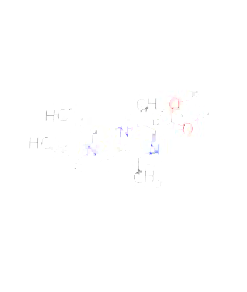 C#CCN(CC#C)Cc1nc(C)c(C2OCCO2)nc1C